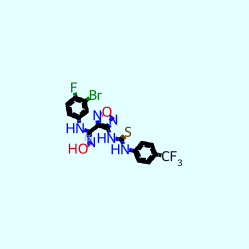 O/N=C(\Nc1ccc(F)c(Br)c1)c1nonc1NC(=S)Nc1ccc(C(F)(F)F)cc1